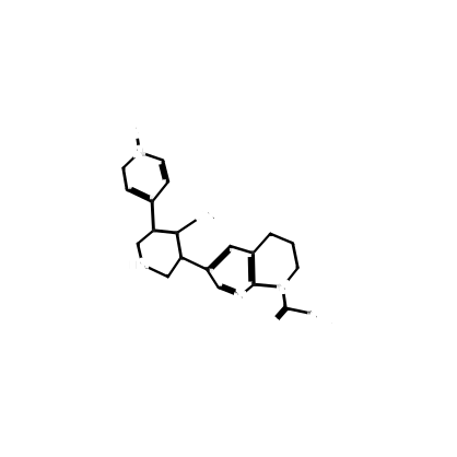 CC(=O)N1C=CC(C2CNCC(c3cnc4c(c3)CCCN4C(N)=O)C2C#N)=CC1